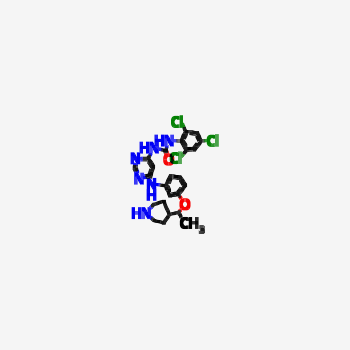 CC(Oc1cccc(Nc2cc(NC(=O)Nc3c(Cl)cc(Cl)cc3Cl)ncn2)c1)C1CCNCC1